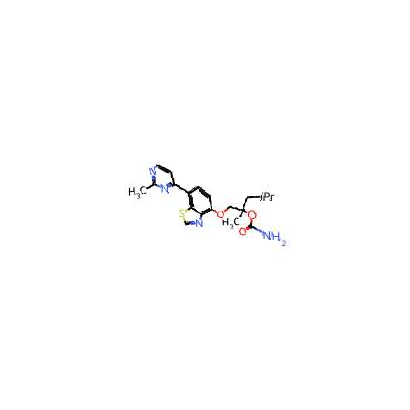 Cc1nccc(-c2ccc(OC[C@](C)(CC(C)C)OC(N)=O)c3ncsc23)n1